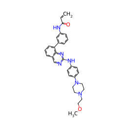 C=CC(=O)Nc1cccc(-c2cccc3cnc(Nc4ccc(N5CCN(CCOC)CC5)cc4)nc23)c1